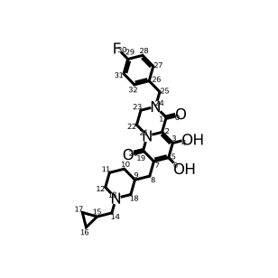 O=C1c2c(O)c(O)c(CC3CCCN(CC4CC4)C3)c(=O)n2CCN1Cc1ccc(F)cc1